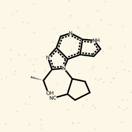 C[C@@H](O)c1nc2cnc3[nH]ccc3c2n1C1CCCC1C#N